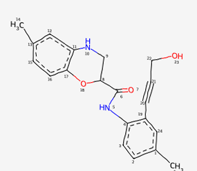 Cc1ccc(NC(=O)C2CNc3cc(C)ccc3O2)c(C#CCO)c1